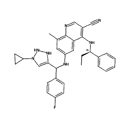 CC[C@@H](Nc1c(C#N)cnc2c(C)cc(NC(C3=CN(C4CC4)NN3)c3ccc(F)cc3)cc12)c1ccccc1